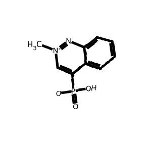 C[n+]1cc(P(=O)([O-])O)c2ccccc2n1